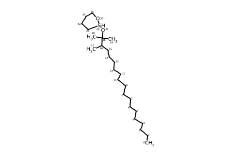 CCCCCCCCCCCCCCCCC(C)C(C)(C)O[SiH]1CCCCO1